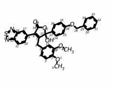 COc1ccc(CC2=C(c3ccc4nsnc4c3)C(=O)OC2(O)c2ccc(OCc3ccccc3)cc2)cc1OC